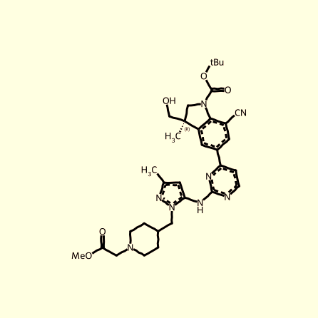 COC(=O)CN1CCC(Cn2nc(C)cc2Nc2nccc(-c3cc(C#N)c4c(c3)[C@@](C)(CO)CN4C(=O)OC(C)(C)C)n2)CC1